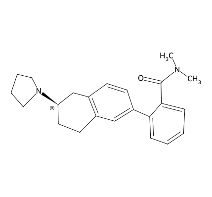 CN(C)C(=O)c1ccccc1-c1ccc2c(c1)CC[C@@H](N1CCCC1)C2